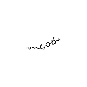 CCCCCC1COC([C@H]2CC[C@H](c3ncc(C#N)c(F)n3)CC2)OC1